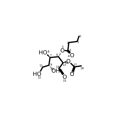 CCCC(=O)O[C@@H]([C@H](O)[C@H](O)CO)[C@H](C=O)OC(C)=O